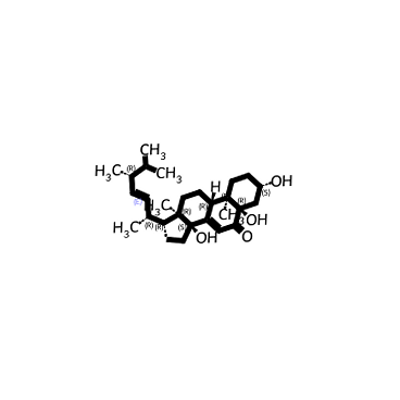 CC(C)[C@@H](C)/C=C/[C@@H](C)[C@H]1CC[C@@]2(O)C3=CC(=O)[C@@]4(O)C[C@@H](O)CC[C@]4(C)[C@H]3CC[C@]12C